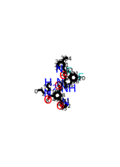 CCCN(CCC)C(=O)c1cc(C(=O)N[C@@H](Cc2cc(F)cc(F)c2)C(N)COCc2cc(CC)ccn2)cc(-c2ncco2)c1